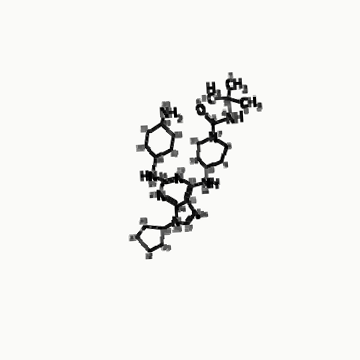 CC(C)(C)NC(=O)N1CCC(Nc2nc(NC3CCC(N)CC3)nc3c2ncn3C2CCCC2)CC1